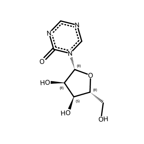 O=c1ncncn1[C@@H]1O[C@H](CO)[C@@H](O)[C@H]1O